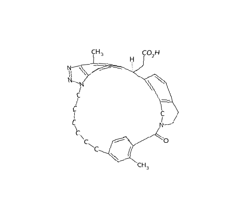 Cc1cc2ccc1C(=O)N1CCc3ccc(cc3C1)[C@H](CC(=O)O)c1ccc3c(nnn3CCCCCC2)c1C